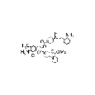 COC(=O)[C@@H]1CCCCN1C1CCN(C(=O)[C@@H](Cc2cc(Cl)c(N)c(C(F)(F)F)c2)OC(=O)N2CCC(NCCc3ccccc3N)CC2)CC1